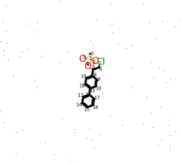 CS(=O)(=O)OC(CCl)c1ccc(-c2ccccc2)cc1